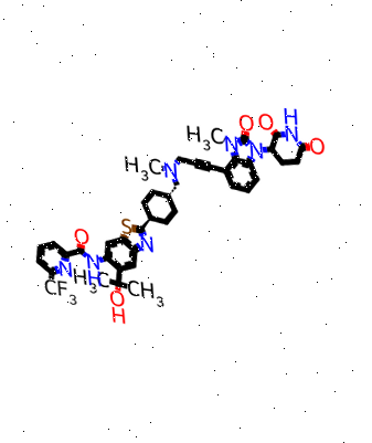 CN(CC#Cc1cccc2c1n(C)c(=O)n2C1CCC(=O)NC1=O)C[C@H]1CC[C@H](c2nc3cc(C(C)(C)O)c(NC(=O)c4cccc(C(F)(F)F)n4)cc3s2)CC1